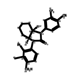 CCc1c(N2C(=O)N(c3ccc(C#N)c(C(F)(F)F)c3)[C@H]3CCCC[C@@H]32)ccc(C(=O)O)c1C